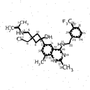 C=C(C)NCC1(CCl)CC(O)(c2cc(C)c3nc(C)nc(NCc4cccc(C(F)(F)F)c4)c3c2)C1